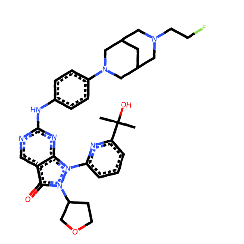 CC(C)(O)c1cccc(-n2c3nc(Nc4ccc(N5CC6CC(CN(CCF)C6)C5)cc4)ncc3c(=O)n2C2CCOC2)n1